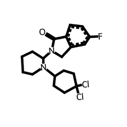 O=C1c2ccc(F)cc2CN1C1CCCCN1C1CCC(Cl)(Cl)CC1